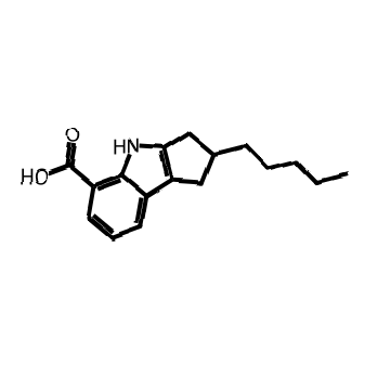 CCCCCC1Cc2[nH]c3c(C(=O)O)cccc3c2C1